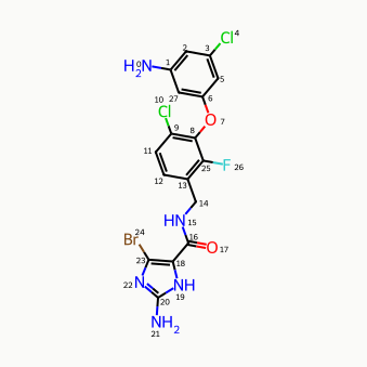 Nc1cc(Cl)cc(Oc2c(Cl)ccc(CNC(=O)c3[nH]c(N)nc3Br)c2F)c1